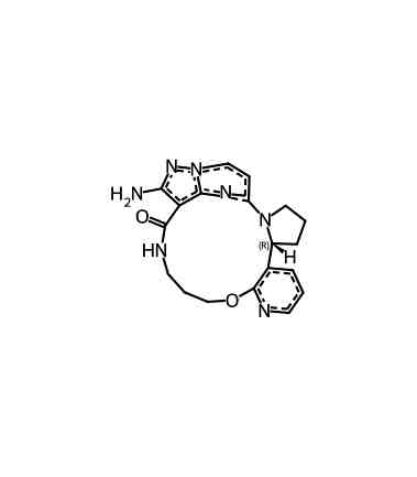 Nc1nn2ccc3nc2c1C(=O)NCCCOc1ncccc1[C@H]1CCCN31